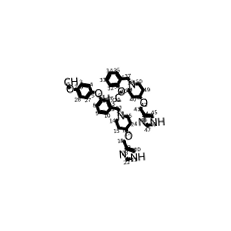 COc1ccc(Oc2cccc(CN3CCC(OCc4c[nH]cn4)CC3)c2)cc1.COc1ccccc1CN1CCC(OCc2c[nH]cn2)CC1